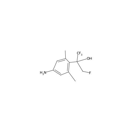 Cc1cc(N)cc(C)c1C(O)(CF)C(F)(F)F